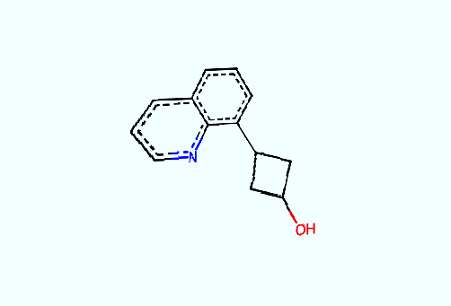 OC1CC(c2cccc3cccnc23)C1